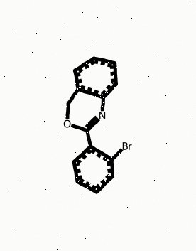 Brc1ccccc1C1=Nc2ccccc2CO1